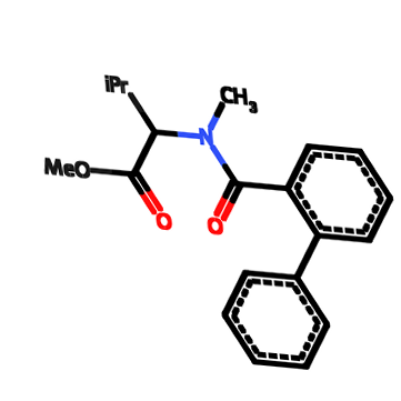 COC(=O)C(C(C)C)N(C)C(=O)c1ccccc1-c1ccccc1